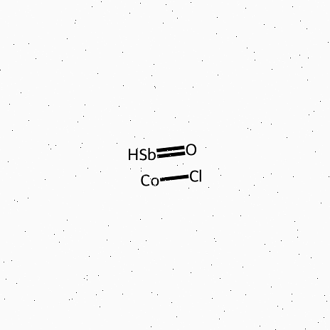 [Cl][Co].[O]=[SbH]